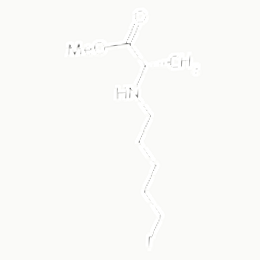 COC(=O)[C@H](C)NCCCCCI